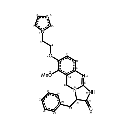 COc1c(OCCn2ccnc2)ccc2c1CN1C(=N2)NC(=O)C1Cc1ccccc1